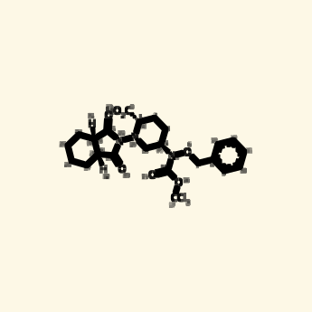 O=C(O)[C@@H]1CC[C@@H](N(OCc2ccccc2)C(=O)OC(Cl)(Cl)Cl)CN1N1C(=O)[C@H]2CCCC[C@H]2C1=O